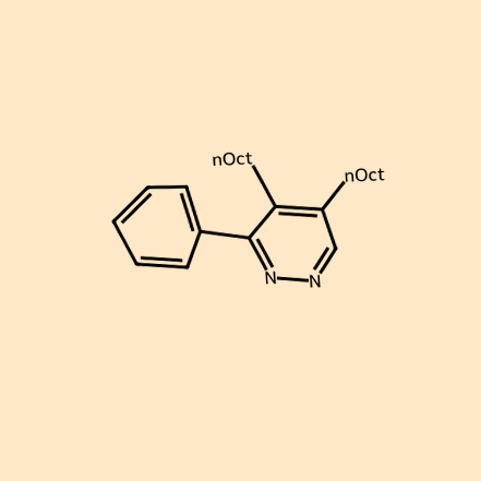 CCCCCCCCc1cnnc(-c2ccccc2)c1CCCCCCCC